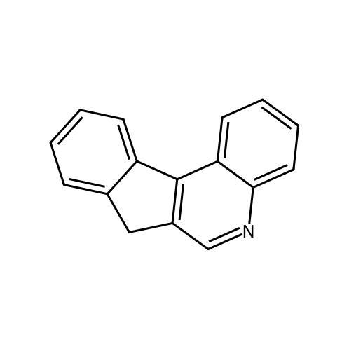 c1ccc2c(c1)Cc1cnc3ccccc3c1-2